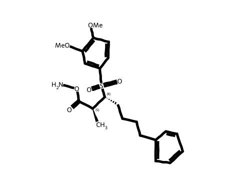 COc1ccc(S(=O)(=O)[C@H](CCCCc2ccccc2)[C@@H](C)C(=O)ON)cc1OC